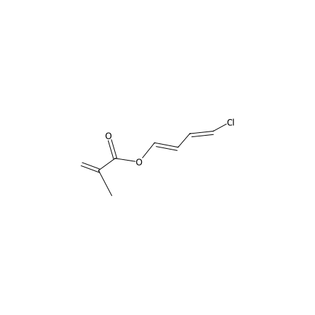 C=C(C)C(=O)OC=CC=CCl